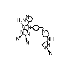 N#Cc1nccc(NC2CCN(Cc3ccc(-n4c(-c5cccnc5N)nc5nc(C#N)c(C#N)nc54)cc3)CC2)n1